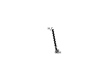 CCCCCCCCCCCCCCCOCCCS(=O)(=O)O